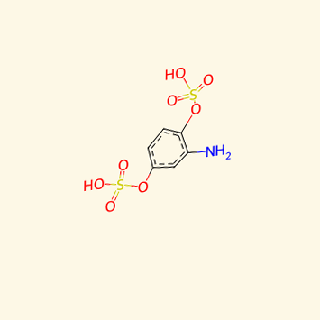 Nc1cc(OS(=O)(=O)O)ccc1OS(=O)(=O)O